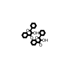 O=c1c(O)c(-c2ccccc2)oc2ccccc12.O=c1c(O)c(-c2ccccc2)oc2ccccc12